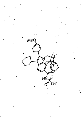 CCCS(=O)(=O)NC(=O)c1ccc2c(C3CCCCC3)c(-c3ccc(OC)cc3)n(CC3(C(=O)N4C5CCC4N(C)C5)CC3)c2c1